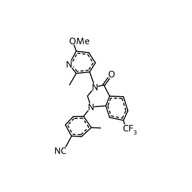 COc1ccc(N2CN(c3ccc(C#N)cc3C)c3cc(C(F)(F)F)ccc3C2=O)c(C)n1